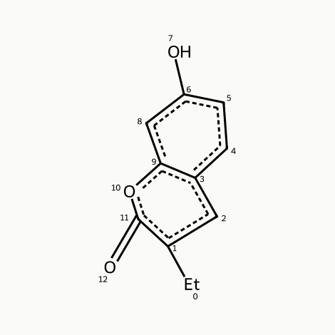 [CH2]Cc1cc2ccc(O)cc2oc1=O